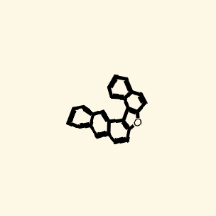 c1ccc2cc3c(ccc4oc5ccc6ccccc6c5c43)cc2c1